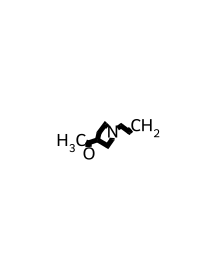 C=CCN1CCC(C(C)=O)CC1